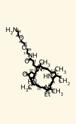 C=Cc1c(C)c2cc3nc(c4c5[nH]c(cc6nc(cc1[nH]2)C(C)=C6CC)c(C)c5C(=O)C4)C(CCC(=O)NCCOCCOCCN)=C3C